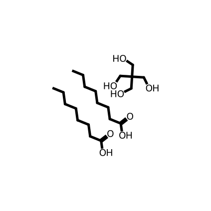 CCCCCCCC(=O)O.CCCCCCCC(=O)O.OCC(CO)(CO)CO